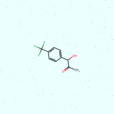 CC(=O)C(O)c1ccc(C(F)(F)F)cc1